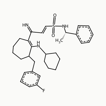 C[C@H](NS(=O)(=O)/C=C/C(=N)C1=C(NC2CCCCC2)C(Cc2cccc(F)c2)CCCC1)c1ccccc1